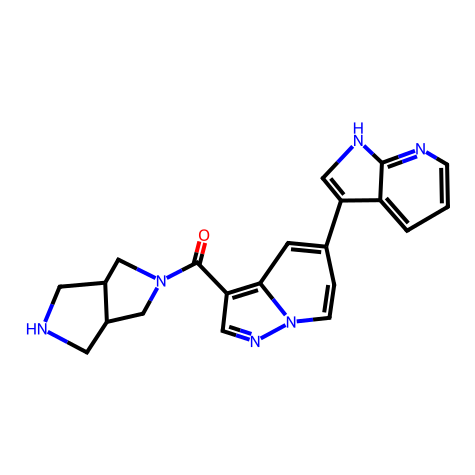 O=C(c1cnn2ccc(-c3c[nH]c4ncccc34)cc12)N1CC2CNCC2C1